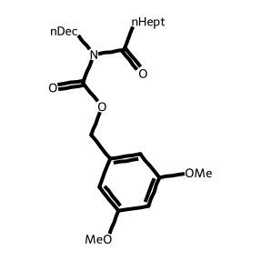 CCCCCCCCCCN(C(=O)CCCCCCC)C(=O)OCc1cc(OC)cc(OC)c1